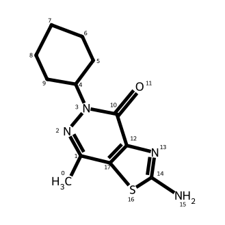 Cc1nn(C2CCCCC2)c(=O)c2nc(N)sc12